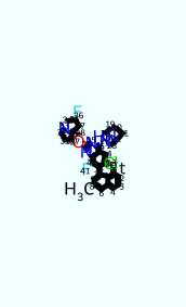 CCc1cccc2cc(C)cc(-c3c(Cl)cc4c(N5CC6CCC(C5)N6)nc(OC[C@@]56CCCN5C[C@H](F)C6)nc4c3F)c12